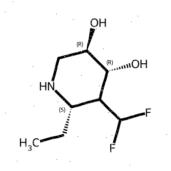 CC[C@@H]1NC[C@@H](O)[C@H](O)C1C(F)F